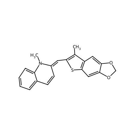 Cc1c(/C=C2\C=Cc3ccccc3N2C)sc2cc3c(cc12)OCO3